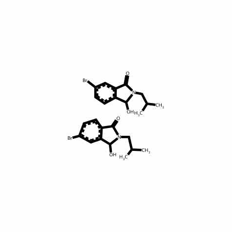 CC(C)CN1C(=O)c2cc(Br)ccc2C1O.CC(C)CN1C(=O)c2ccc(Br)cc2C1O